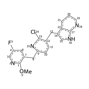 COc1ncc(F)cc1[CH]c1ccc(Cc2c[nH]c3ncccc23)c(Cl)n1